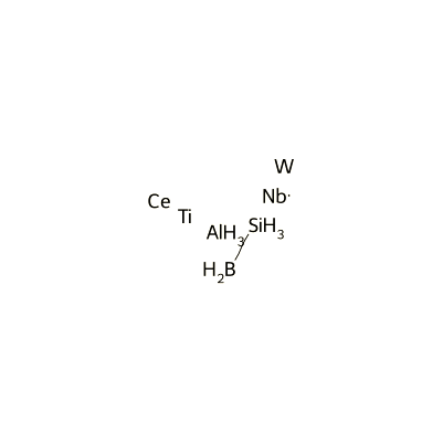 B[SiH3].[AlH3].[Ce].[Nb].[Ti].[W]